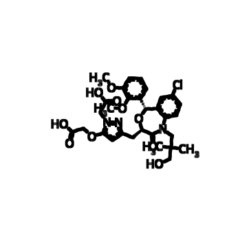 COc1cccc([C@H]2O[C@H](Cc3cc(OCC(=O)O)n(CC(=O)O)n3)C(=O)N(CC(C)(C)CO)c3ccc(Cl)cc32)c1OC